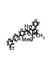 CCc1ccnc(N2CCN(c3ccc(NC(=O)C(=O)c4c(-c5ccccc5)cc(C)n4CCOC)cc3)CC2)c1